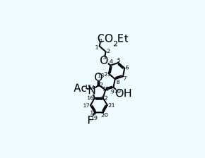 CCOC(=O)CCOc1cccc(C(O)=C2C(=O)N(C(C)=O)c3cc(F)ccc32)c1